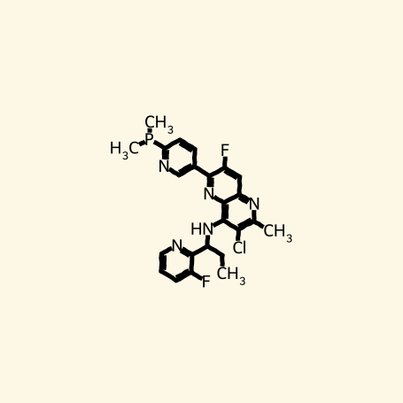 CCC(Nc1c(Cl)c(C)nc2cc(F)c(-c3ccc(P(C)C)nc3)nc12)c1ncccc1F